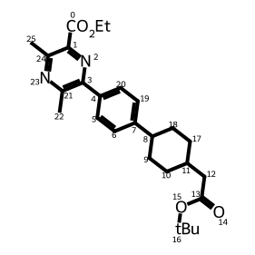 CCOC(=O)c1nc(-c2ccc(C3CCC(CC(=O)OC(C)(C)C)CC3)cc2)c(C)nc1C